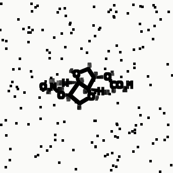 O=C(O)O[C@H]1CO[C@H]2[C@@H]1OC[C@@H]2O[N+](=O)[O-]